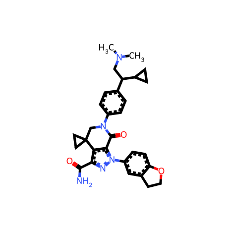 CN(C)CC(c1ccc(N2CC3(CC3)c3c(C(N)=O)nn(-c4ccc5c(c4)CCO5)c3C2=O)cc1)C1CC1